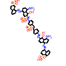 Nc1ccc(N=Nc2ccc(S(=O)(=O)O)c3ccccc23)c2ccc(N=Nc3ccc(/C=C/c4ccc(N=Nc5c(S(=O)(=O)O)cc6c(N=Nc7cccc8ccc(S(=O)(=O)O)cc78)ccc(N)c6c5O)cc4S(=O)(=O)O)cc3)c(O)c12